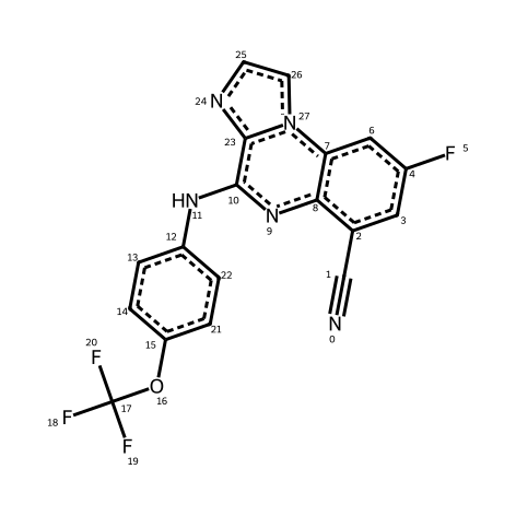 N#Cc1cc(F)cc2c1nc(Nc1ccc(OC(F)(F)F)cc1)c1nccn12